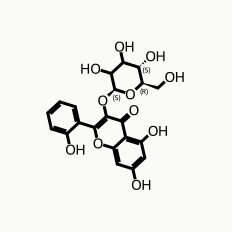 O=c1c(O[C@@H]2O[C@H](CO)[C@@H](O)C(O)C2O)c(-c2ccccc2O)oc2cc(O)cc(O)c12